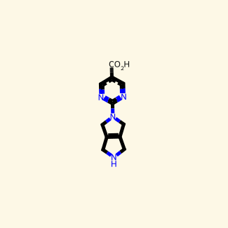 O=C(O)c1cnc(N2CC3=C(CNC3)C2)nc1